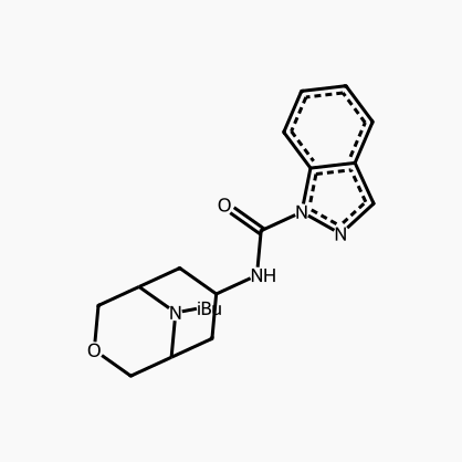 CCC(C)N1C2COCC1CC(NC(=O)n1ncc3ccccc31)C2